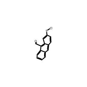 O=Cc1c2ccccc2cc2ccc(SCl)cc12